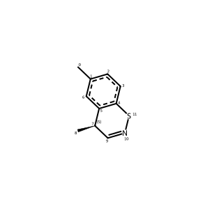 Cc1ccc2c(c1)[C@H](C)C=NS2